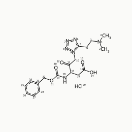 CN(C)CCc1nnnn1CC(=O)C(CC(=O)O)NC(=O)OCc1ccccc1.Cl